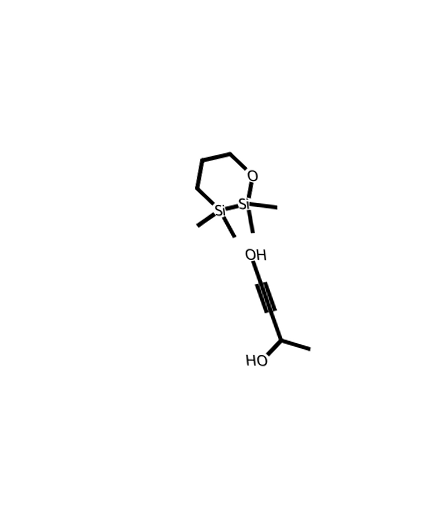 CC(O)C#CO.C[Si]1(C)CCCO[Si]1(C)C